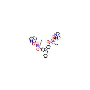 C=CCC/C(=N\OC(=O)N1CCCN2CCCN=C21)C(=O)c1ccc2c(c1)c1cc(C(=O)/C(CCC=C)=N/OC(=O)N3CCCN4CCCN=C43)ccc1n2Cc1ccccc1